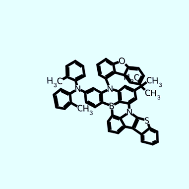 Cc1ccccc1N(c1ccc2c(c1)N(c1cccc3oc4ccccc4c13)c1cc(C(C)(C)C)cc3c1B2c1cccc2c4c5ccccc5sc4n-3c12)c1ccccc1C